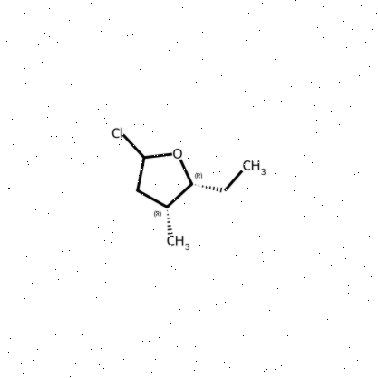 CC[C@H]1OC(Cl)C[C@H]1C